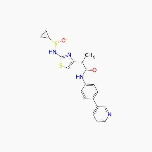 CC(C(=O)Nc1ccc(-c2cccnc2)cc1)c1csc(N[S+]([O-])C2CC2)n1